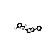 O=C(Nc1ccn2cc(-c3ccccc3)nc2n1)c1cccc(Cl)n1